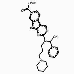 COC(=O)c1ccc2c(c1)[nH]c1nc(N(CCCN3CCCCC3)C(O)c3ccccc3)ncc12